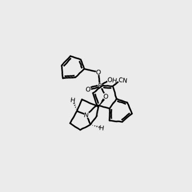 N#Cc1ccc(N2[C@@H]3CC[C@H]2C[C@@H](OP(=O)(O)Oc2ccccc2)C3)c2ccccc12